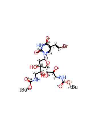 CC(C)(C)OC(=O)NCC(=O)C(O)[C@H]1O[C@@H](n2cc(C=CBr)c(=O)[nH]c2=O)C[C@@]1(O)C(=O)CNC(=O)OC(C)(C)C